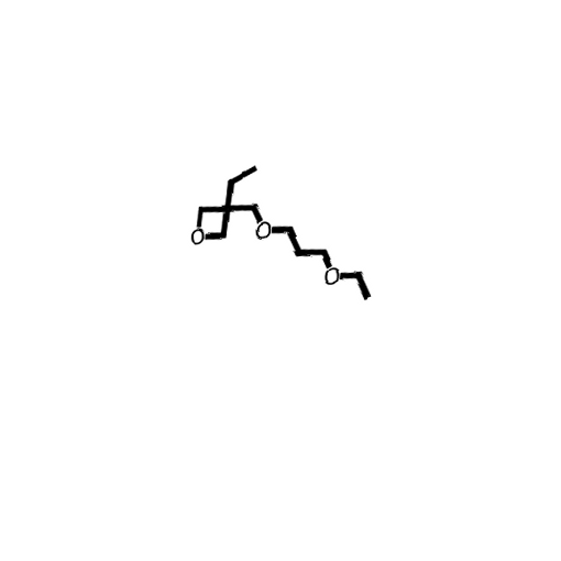 CCOCCCOCC1(CC)COC1